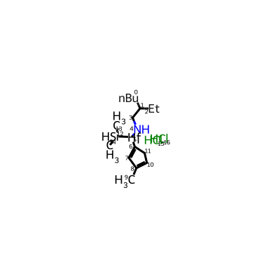 CCCCC(CC)C[NH][Hf]([C]1=CC(C)=CC1)[SiH](C)C.Cl.Cl